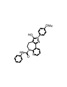 COc1ccc(-n2nc3c(c2O)CCN(C(=O)Nc2ccccc2)c2ncccc2-3)cc1